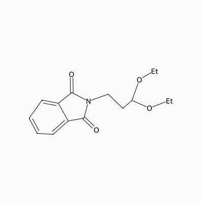 CCOC(CCN1C(=O)c2ccccc2C1=O)OCC